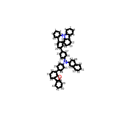 c1ccc(-n2c3ccccc3c3ccccc32)c(-c2ccc(-c3ccc(N(c4ccc(-c5cccc6c5oc5ccccc56)cc4)c4ccc5ccccc5c4)cc3)cc2)c1